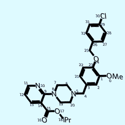 COc1cc(CN2CCN(c3ncccc3C(=O)OC(C)C)CC2)ccc1OCc1ccc(Cl)cc1